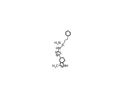 Cc1n[nH]c2ccc(-c3nnc(NC[C@H](N)CCCc4ccccc4)s3)cc12